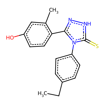 CCc1ccc(-n2c(-c3ccc(O)cc3C)n[nH]c2=S)cc1